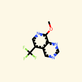 COc1ncc(C(F)(F)F)c2cncnc12